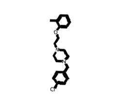 Cc1ccccc1OCCN1CCN(Cc2ccc(Cl)cc2)CC1